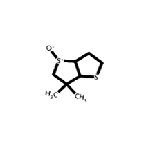 CC1(C)C[S+]([O-])C2CCSC21